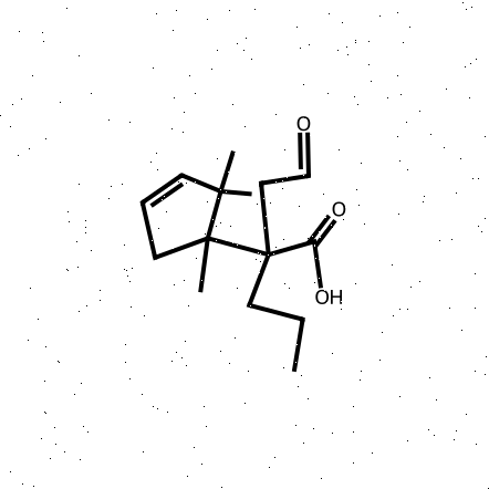 CCCC(CC=O)(C(=O)O)C1(C)CC=CC1(C)C